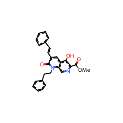 COC(=O)c1ncc2c(cc(C=Cc3ccccc3)c(=O)n2CCc2ccccc2)c1O